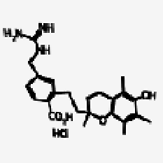 Cc1c(C)c2c(c(C)c1O)CCC(C)(CCc1cc(CNC(=N)N)ccc1C(=O)O)O2.Cl